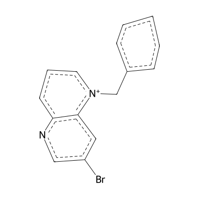 Brc1cnc2ccc[n+](Cc3ccccc3)c2c1